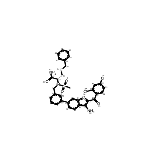 CS(=O)(=O)N(Cc1cccc(-c2ccc3c(N)c(C(=O)c4ccc(Cl)cc4Cl)oc3c2)c1)[C@@H](COCc1ccccc1)C(N)=O